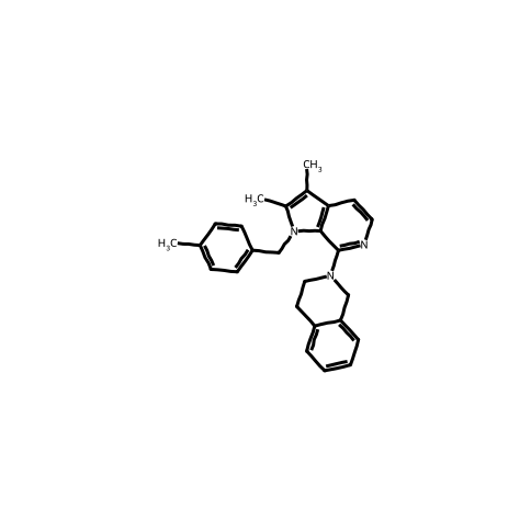 Cc1ccc(Cn2c(C)c(C)c3ccnc(N4CCc5ccccc5C4)c32)cc1